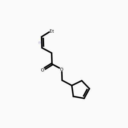 CC/C=C\CC(=O)OCC1CC=CC1